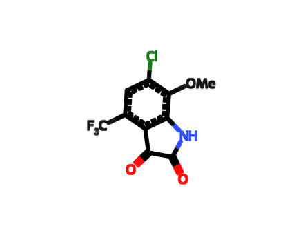 COc1c(Cl)cc(C(F)(F)F)c2c1NC(=O)C2=O